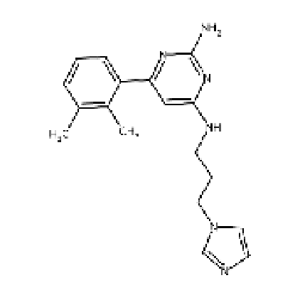 Cc1cccc(-c2cc(NCCCn3ccnc3)nc(N)n2)c1C